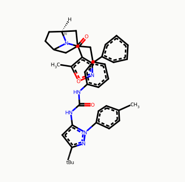 Cc1ccc(-n2nc(C(C)(C)C)cc2NC(=O)Nc2cccc(CC3CC4CC[C@@H](C3)N4C(=O)c3c(-c4ccccc4)noc3C)c2)cc1